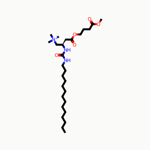 CCCCCCCCCCCCCCNC(=O)N[C@H](CC(=O)OCCCC(=O)OC)C[N+](C)(C)C